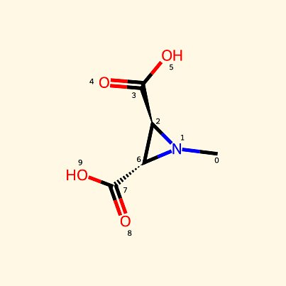 CN1[C@H](C(=O)O)[C@H]1C(=O)O